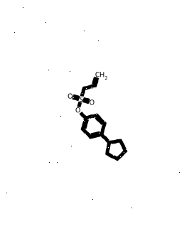 C=CCS(=O)(=O)Oc1ccc(C2CCCC2)cc1